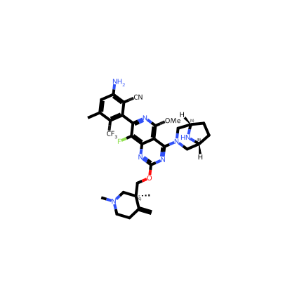 C=C1CCN(C)C[C@@]1(C)COc1nc(N2C[C@H]3CC[C@@H](C2)N3)c2c(OC)nc(-c3c(C#N)c(N)cc(C)c3C(F)(F)F)c(F)c2n1